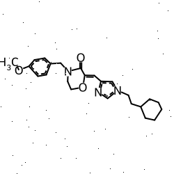 COc1ccc(CN2CCOC(=Cc3cn(CCC4CCCCC4)cn3)C2=O)cc1